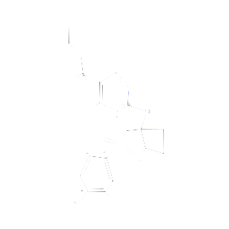 CCOC(=O)c1cnc(NC2(CS(=O)(=O)c3ccc(C)cc3)CCC2)nc1